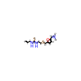 C=CCNC(=S)NCCSCc1ccc(CN(C)C)o1